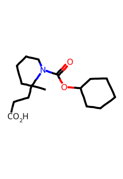 CC1(CCC(=O)O)CCCCN1C(=O)OC1CCCCC1